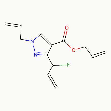 C=CCOC(=O)c1cn(CC=C)nc1C(F)C=C